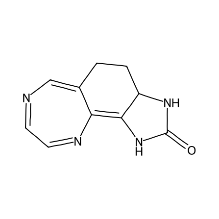 O=C1NC2=C3N=CC=NC=C3CCC2N1